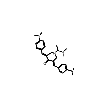 CNC(=O)N1C/C(=C\c2ccc(N(C)C)cc2)C(=O)/C(=C/c2ccc(N(C)C)cc2)C1